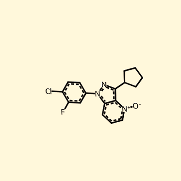 [O-][n+]1cccc2c1c(C1CCCC1)nn2-c1ccc(Cl)c(F)c1